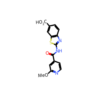 COc1cc(C(=O)Nc2nc3ccc(C(=O)O)cc3s2)ccn1